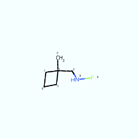 CC1(CNF)CCC1